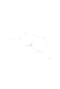 CCC(Oc1cccc(C)c1)[N+](=O)[O-]